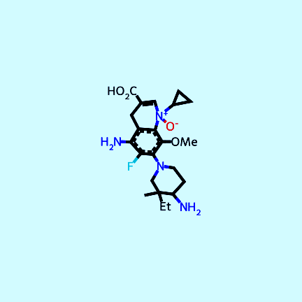 CCC1(C)CN(c2c(F)c(N)c3c(c2OC)[N+]([O-])(C2CC2)C=C(C(=O)O)C3)CCC1N